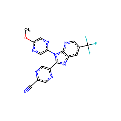 COc1cnc(-n2c(-c3cnc(C#N)cn3)nc3cc(C(F)(F)F)cnc32)cn1